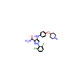 CN1CCC(Oc2ccc(Nc3cn(-c4c(F)cccc4F)nc3C(N)=O)cc2)CC1